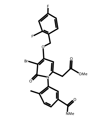 CNC(=O)c1ccc(C)c(-n2c(CC(=O)OC)cc(OCc3ccc(F)cc3F)c(Br)c2=O)c1